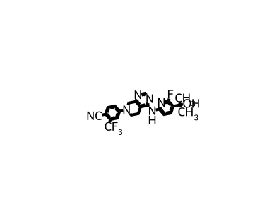 CC(C)(O)c1ccc(Nc2ncnc3c2CCN(c2ccc(C#N)c(C(F)(F)F)c2)C3)nc1F